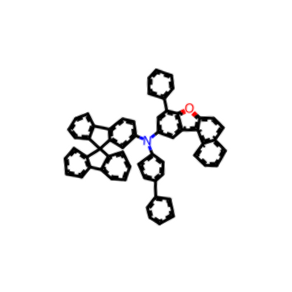 c1ccc(-c2ccc(N(c3ccc4c(c3)C3(c5ccccc5-c5ccccc53)c3ccccc3-4)c3cc(-c4ccccc4)c4oc5ccc6ccccc6c5c4c3)cc2)cc1